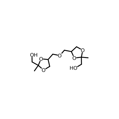 CC1(CO)OCC(COCC2COC(C)(CO)O2)O1